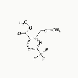 C=C=Cc1nc(C(F)(F)F)ccc1C(=O)OC